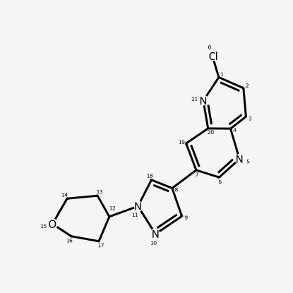 Clc1ccc2ncc(-c3cnn(C4CCOCC4)c3)cc2n1